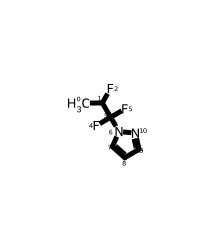 CC(F)C(F)(F)n1cc[c]n1